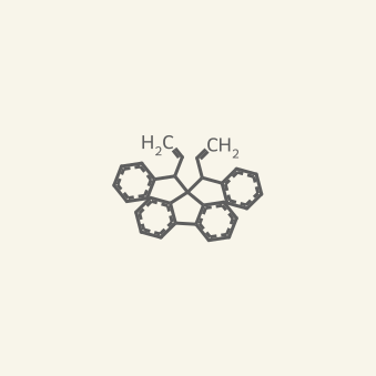 C=CC(c1ccccc1)C1(C(C=C)c2ccccc2)c2ccccc2-c2ccccc21